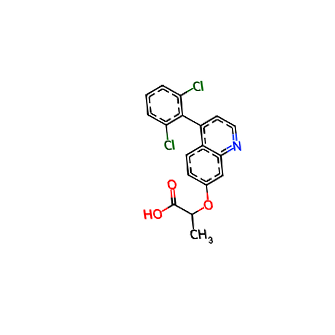 CC(Oc1ccc2c(-c3c(Cl)cccc3Cl)ccnc2c1)C(=O)O